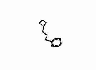 c1ccc(CSCC2CCC2)cc1